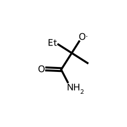 CCC(C)([O])C(N)=O